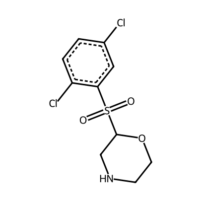 O=S(=O)(c1cc(Cl)ccc1Cl)C1CNCCO1